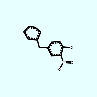 O=[N+]([O-])c1cc(Cc2ccccc2)ccc1Cl